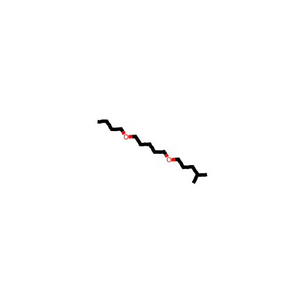 CCCCOCCCCCOCCCC(C)C